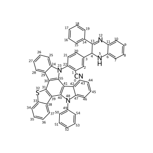 N#Cc1cc(C2Nc3ccccc3N=C2c2ccccc2)ccc1-n1c2ccccc2c2c3sc4ccccc4c3c3c(c4ccccc4n3-c3ccccc3)c21